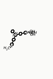 CC[n+]1ccc(-c2ccc(-c3cc(-c4ccc(-c5cc[n+](CC[Si](O)(O)O)cc5)cc4)nc(-c4ccccc4)n3)cc2)cc1